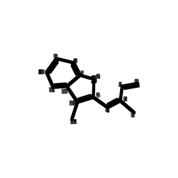 C=C/C(C)=C\c1sc2ccccc2c1C